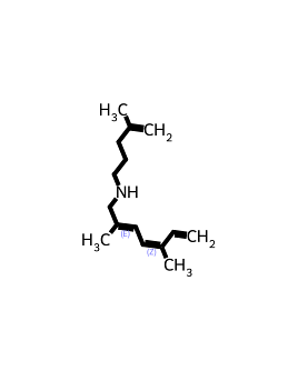 C=C/C(C)=C\C=C(/C)CNCCCC(=C)C